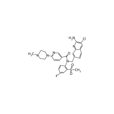 CN1CCN(c2ccc(C(=O)N(Cc3ccc4cc(Cl)c(N)nc4c3)c3ccc(F)cc3S(C)(=O)=O)cn2)CC1